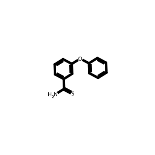 NC(=S)c1cccc(Oc2ccccc2)c1